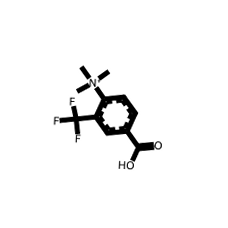 C[N+](C)(C)c1ccc(C(=O)O)cc1C(F)(F)F